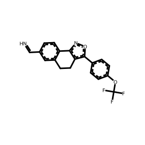 N=Cc1ccc2c(c1)CCc1c-2noc1-c1ccc(OC(F)(F)F)cc1